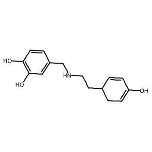 OC1=CCC(CCNCc2ccc(O)c(O)c2)C=C1